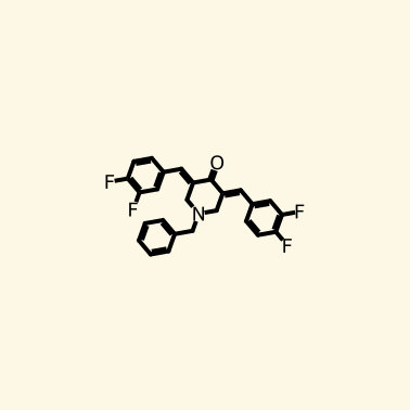 O=C1/C(=C/c2ccc(F)c(F)c2)CN(Cc2ccccc2)C/C1=C\c1ccc(F)c(F)c1